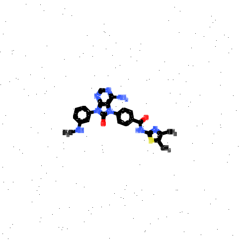 CNc1cccc(-n2c(=O)n(-c3ccc(C(=O)Nc4nc(C)c(C)s4)cc3)c3c(N)ncnc32)c1